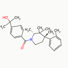 Cc1ccccc1[C@]1(C)CCN(C(=O)c2ccc(C(C)(C)O)cc2)[C@H](C)C1(C)C